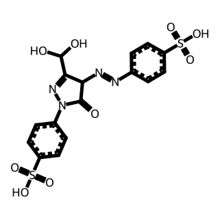 O=C1C(N=Nc2ccc(S(=O)(=O)O)cc2)C(C(O)O)=NN1c1ccc(S(=O)(=O)O)cc1